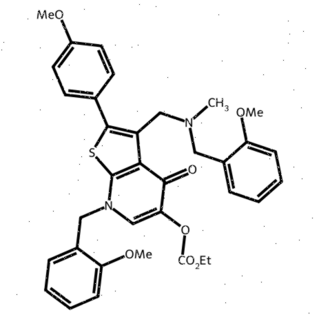 CCOC(=O)Oc1cn(Cc2ccccc2OC)c2sc(-c3ccc(OC)cc3)c(CN(C)Cc3ccccc3OC)c2c1=O